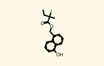 CCC(C)(I)C(=O)OCc1cccc2c(O)cccc12